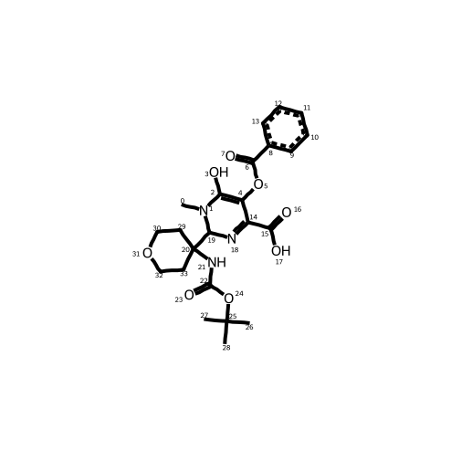 CN1C(O)=C(OC(=O)c2ccccc2)C(C(=O)O)=NC1C1(NC(=O)OC(C)(C)C)CCOCC1